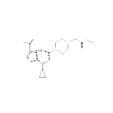 CNC(=O)c1csc2c(C3CC3)cc(N3CCN(CC(=O)NC(C)C)CC3)nc12